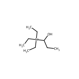 CCC(O)[N+](CC)(CC)CC